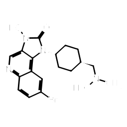 CN(C)C[C@H]1CC[C@H](n2c(=O)n(C)c3cnc4ccc(Br)cc4c32)CC1